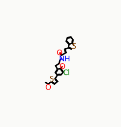 CC(=O)c1ccc(-c2cc(Cl)c3c(c2)CC(CNC(=O)C=Cc2csc4ccccc24)O3)s1